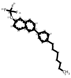 CCCCCCCc1ccc(-c2ccc3cc(OC(F)(F)F)ccc3c2)cc1